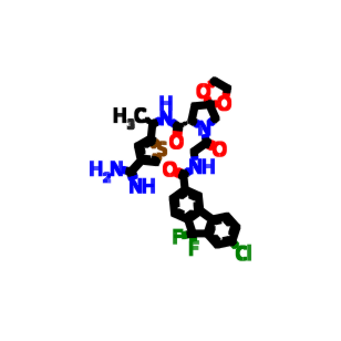 C[C@@H](NC(=O)[C@@H]1CC2(CN1C(=O)CNC(=O)c1ccc3c(c1)-c1ccc(Cl)cc1C3(F)F)OCCO2)c1cc(C(=N)N)cs1